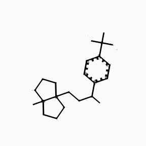 CC(CCC12CCCC1(C)CCC2)c1ccc(C(C)(C)C)cc1